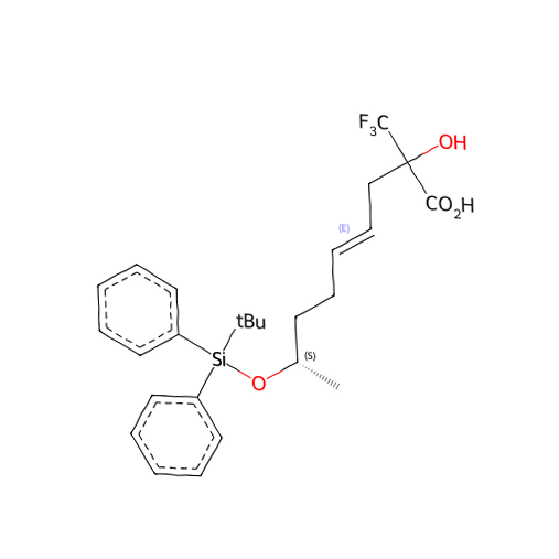 C[C@@H](CC/C=C/CC(O)(C(=O)O)C(F)(F)F)O[Si](c1ccccc1)(c1ccccc1)C(C)(C)C